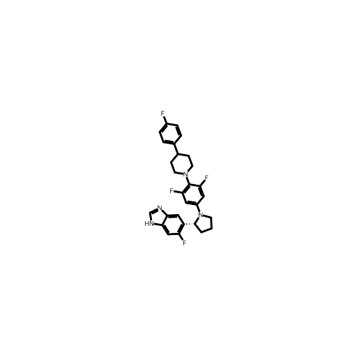 Fc1ccc(C2CCN(c3c(F)cc(N4CCC[C@@H]4c4cc5nc[nH]c5cc4F)cc3F)CC2)cc1